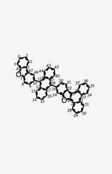 c1ccc2c(c1)oc1ccc(-c3c4ccccc4c(-c4ccc5c(c4)oc4c6ccccc6c6ccccc6c54)c4ccccc34)cc12